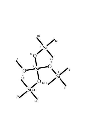 CO[Si](O[Si](C)(C)C)(O[Si](C)(C)C)O[Si](C)(C)C